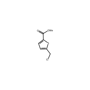 COC(=O)c1ccc(CCl)s1